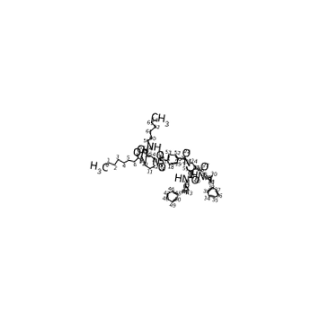 CCCCCCCC(O)N1CCCN(S(=O)(=O)c2ccc(C(=O)N3C[C@@H](C(=O)N[C@H]4C[C@@H]4c4ccccc4)[C@H](C(=O)N[C@H]4C[C@@H]4c4ccccc4)C3)cc2)CC1C(=O)NCCCCCC